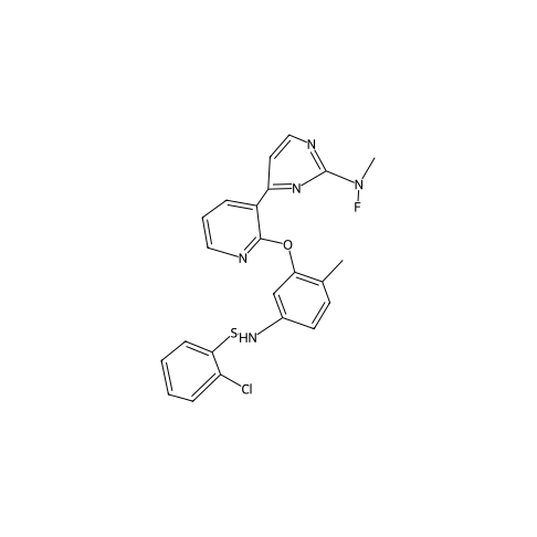 Cc1ccc(NSc2ccccc2Cl)cc1Oc1ncccc1-c1ccnc(N(C)F)n1